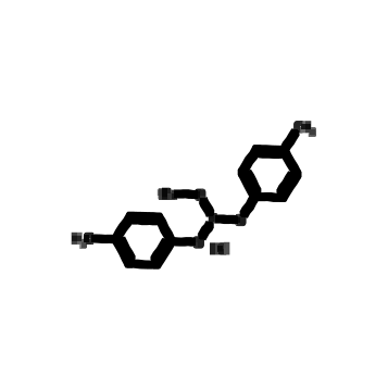 Cc1ccc(OP(Oc2ccc(C)cc2)OC(C)(C)C)cc1.Cl